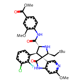 COC(=O)c1ccc(NC(=O)[C@@H]2N[C@@H](CC(C)(C)C)[C@@]3(C(=O)Nc4cc(OC)ncc43)[C@H]2c2cccc(Cl)c2F)c(OC)c1